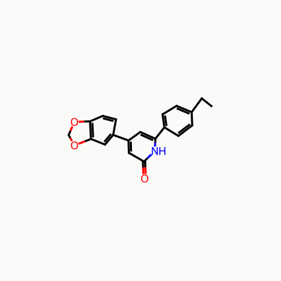 CCc1ccc(-c2cc(-c3ccc4c(c3)OCO4)cc(=O)[nH]2)cc1